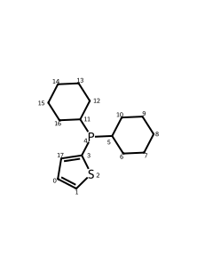 c1csc(P(C2CCCCC2)C2CCCCC2)c1